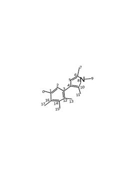 Cc1cc(-c2cc(C)n(C)c2C)c(C)c(C)c1C